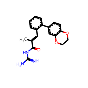 C/C(=C\c1ccccc1-c1ccc2c(c1)OCCO2)C(=O)NC(=N)N